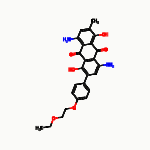 CCOCCOc1ccc(-c2cc(N)c3c(c2O)C(=O)c2c(N)cc(C)c(O)c2C3=O)cc1